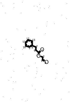 O=CCOC(=O)CCc1ccccc1